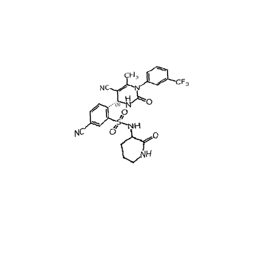 CC1=C(C#N)[C@@H](c2ccc(C#N)cc2S(=O)(=O)NC2CCCNC2=O)NC(=O)N1c1cccc(C(F)(F)F)c1